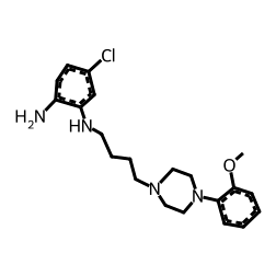 COc1ccccc1N1CCN(CCCCNc2cc(Cl)ccc2N)CC1